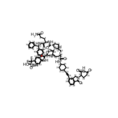 NC(=O)CCC(NC(=O)[C@@H]1CC[C@@H]2CCN(C(=O)NC3CCC(C#Cc4cccc5c4CN(C4CCC(=O)NC4=O)C5=O)CC3)C[C@H](NC(=O)c3cc4cc(C(F)(F)P(=O)(O)O)ccc4[nH]3)C(=O)N21)C(=O)NC(c1ccccc1)c1ccccc1